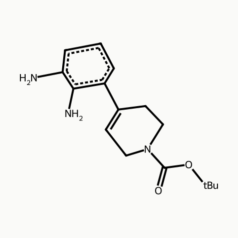 CC(C)(C)OC(=O)N1CC=C(c2cccc(N)c2N)CC1